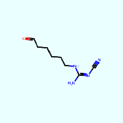 N#CN=C(N)NCCCCCC=O